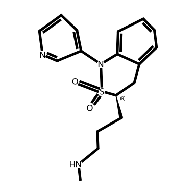 CNCCC[C@@H]1Cc2ccccc2N(c2cccnc2)S1(=O)=O